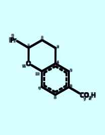 CC(C)C1CCc2cc(C(=O)O)ccc2O1